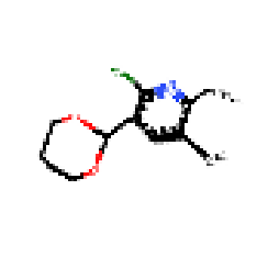 Cc1cc(C2OCCCO2)c(Cl)nc1C